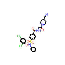 N#CC1CCN(C(=O)CNC(=O)c2ccc(S(=O)(=O)N(Oc3ccc(Cl)cc3Cl)c3ccccc3)cc2)CC1